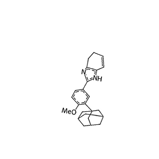 COc1ccc(-c2nc3c([nH]2)C=CCC3)cc1C12CC3CC(CC(C3)C1)C2